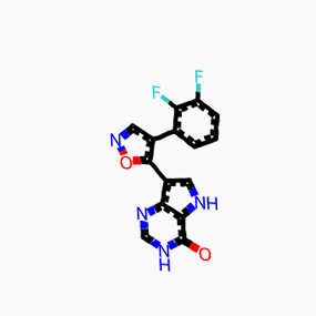 O=c1[nH]cnc2c(-c3oncc3-c3cccc(F)c3F)c[nH]c12